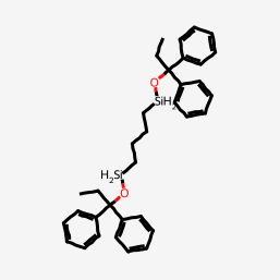 CCC(O[SiH2]CCCC[SiH2]OC(CC)(c1ccccc1)c1ccccc1)(c1ccccc1)c1ccccc1